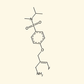 CC(C)N(C)S(=O)(=O)c1ccc(OCC(=CF)CN)cc1